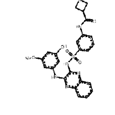 COc1cc(O)cc(Nc2nc3ccccc3nc2NS(=O)(=O)c2cccc(NC(=O)C3CNC3)c2)c1